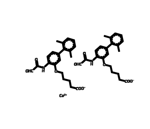 Cc1cccc(C)c1-c1ccc(NC(=O)C=O)c(OCCCCC(=O)[O-])c1.Cc1cccc(C)c1-c1ccc(NC(=O)C=O)c(OCCCCC(=O)[O-])c1.[Ca+2]